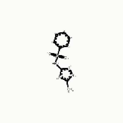 Cc1nsc(NS(=O)(=O)c2ccccc2)n1